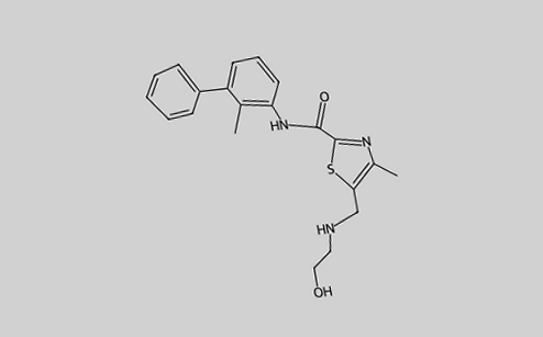 Cc1nc(C(=O)Nc2cccc(-c3ccccc3)c2C)sc1CNCCO